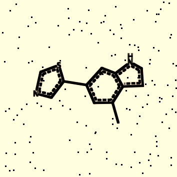 Cc1cc(-c2cncs2)cc2[nH]ccc12